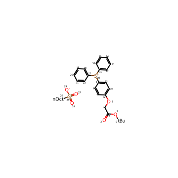 CC(C)(C)OC(=O)COc1ccc([S+](c2ccccc2)c2ccccc2)cc1.CCCCCCCCS(=O)(=O)[O-]